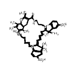 Cc1c(C)c2c(c(C)c1O)CC(C(=O)NCCC[N+]1=C(/C=C/C=C/C=C3/N(CCCCCC(=O)O)c4ccc(S(=O)(=O)O)cc4C3(C)C)C(C)(C)c3cc(S(=O)(=O)O)ccc31)C(C)O2